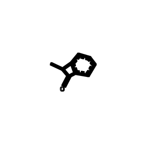 C[C]1C(=O)c2ccccc21